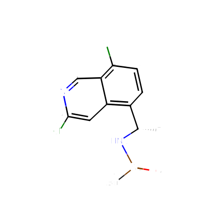 CC[C@H](N[S+]([O-])C(C)(C)C)c1ccc(Cl)c2cnc(Cl)cc12